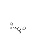 C[C@@H]1CCCN1Cc1ccc(C2CC(C(=O)N3CCCC3)C2)cc1Cl